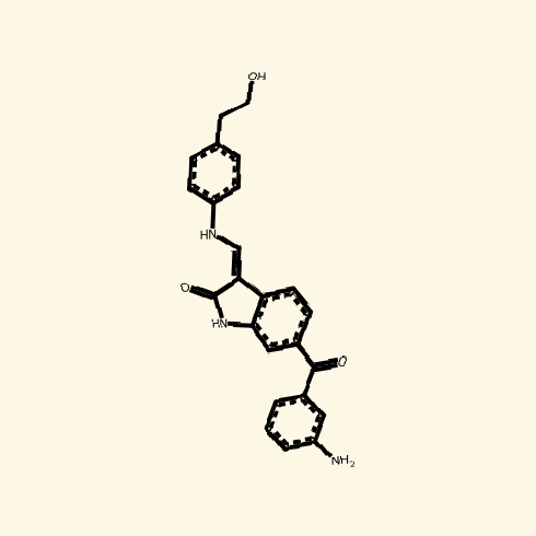 Nc1cccc(C(=O)c2ccc3c(c2)NC(=O)C3=CNc2ccc(CCO)cc2)c1